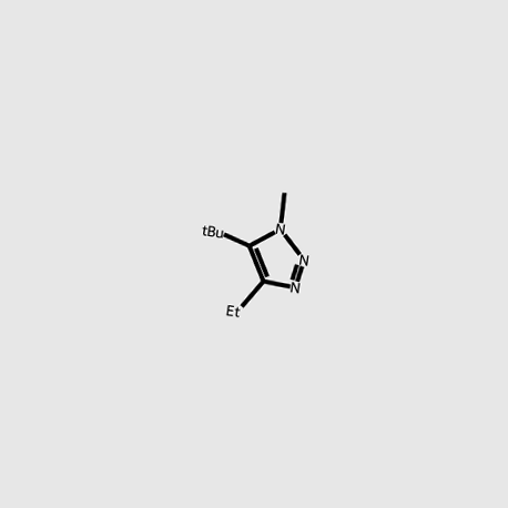 CCc1nnn(C)c1C(C)(C)C